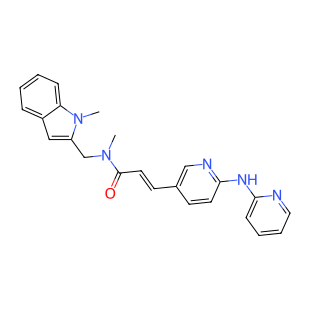 CN(Cc1cc2ccccc2n1C)C(=O)/C=C/c1ccc(Nc2ccccn2)nc1